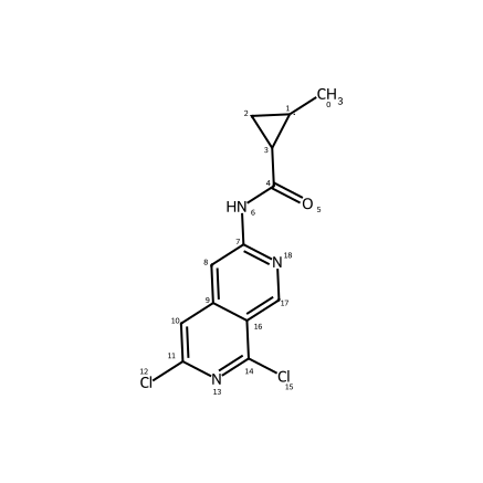 C[C]1CC1C(=O)Nc1cc2cc(Cl)nc(Cl)c2cn1